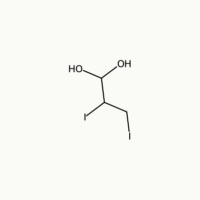 OC(O)C(I)CI